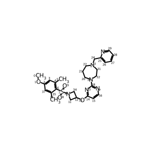 COc1cc(C)c(S(=O)(=O)N2CC(Oc3ccnc(N4CCCN(Cc5ccccn5)CC4)n3)C2)c(C)c1